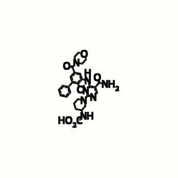 NC(=O)c1cnc(N2CCCC(NC(=O)O)C2)nc1Nc1cc(C(=O)N2CCOCC2)cc(-c2ccccc2)c1Cl